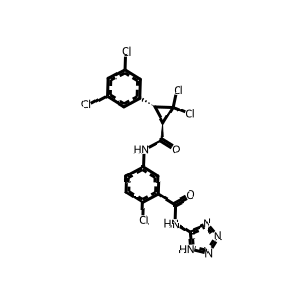 O=C(Nc1nnn[nH]1)c1cc(NC(=O)[C@H]2[C@H](c3cc(Cl)cc(Cl)c3)C2(Cl)Cl)ccc1Cl